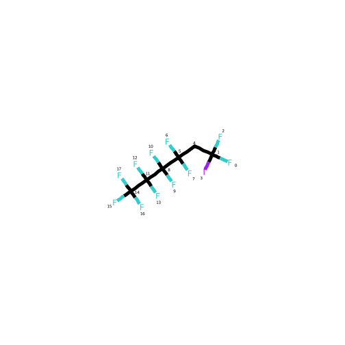 FC(F)(I)CC(F)(F)C(F)(F)C(F)(F)C(F)(F)F